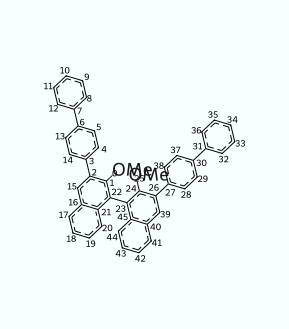 COc1c(-c2ccc(-c3ccccc3)cc2)cc2ccccc2c1-c1c(OC)c(-c2ccc(-c3ccccc3)cc2)cc2ccccc12